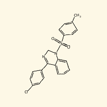 Cc1ccc(S(=O)(=O)N2CN=C(c3ccc(Cl)cc3)c3ccccc32)cc1